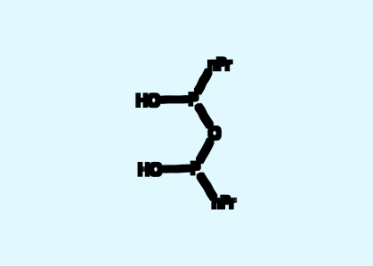 CCCP(O)OP(O)CCC